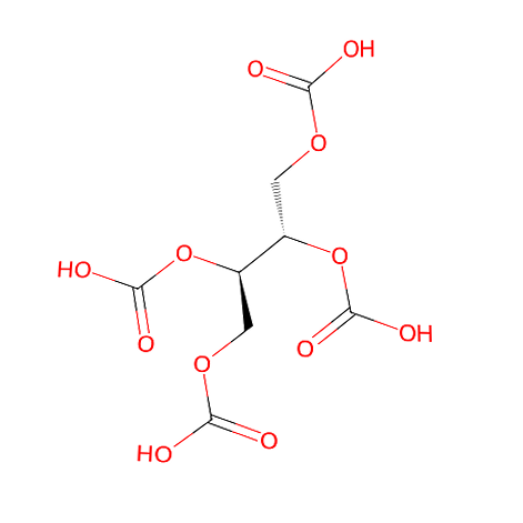 O=C(O)OC[C@H](OC(=O)O)[C@@H](COC(=O)O)OC(=O)O